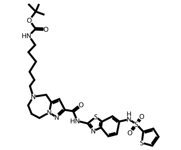 CC(C)(C)OC(=O)NCCCCCCN1CCCn2nc(C(=O)Nc3nc4ccc(NS(=O)(=O)c5cccs5)cc4s3)cc2C1